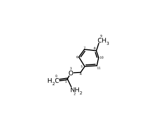 C=C(N)OCc1ccc(C)cc1